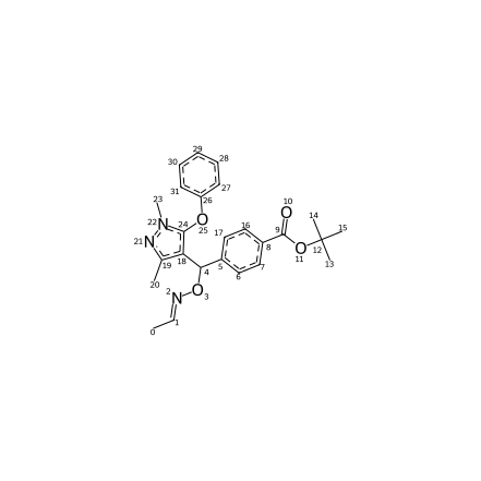 CC=NOC(c1ccc(C(=O)OC(C)(C)C)cc1)c1c(C)nn(C)c1Oc1ccccc1